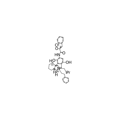 CC(C)C[N+]1(CCc2ccccc2)CC[C@]23c4c5c(O)cc(NC(=O)C(=Cc6ccccc6)OC(F)(F)F)c4O[C@H]2CCC[C@H]3[C@H]1C5